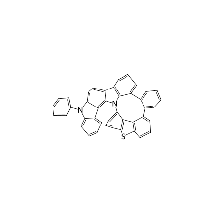 c1ccc(-n2c3ccccc3c3c2ccc2c4cccc5c6ccccc6c6cccc7sc8cccc(c8c76)n(c54)c23)cc1